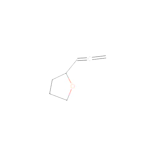 C=C=CC1CCCO1